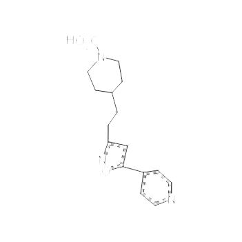 O=C(O)N1CCC(CCc2cc(-c3ccncc3)on2)CC1